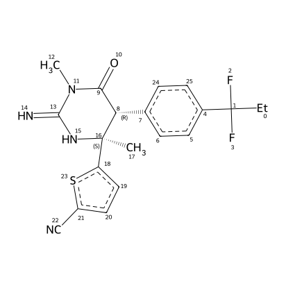 CCC(F)(F)c1ccc([C@H]2C(=O)N(C)C(=N)N[C@]2(C)c2ccc(C#N)s2)cc1